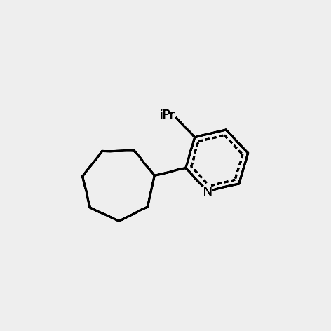 CC(C)c1cccnc1C1CCCCCC1